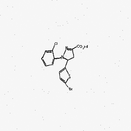 O=C(O)C1=NN(c2ccccc2Cl)C(c2ccc(Br)s2)C1